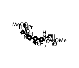 COC(=O)N[C@H](C(=O)N1CCC[C@H]1c1nc2ccc(-c3ccc(-c4ccc5nc([C@@H]6CCCN6C(=O)[C@@H](NC(=O)OC)C(C)C)[nH]c5c4)c4c3ccn4C)cc2[nH]1)C(C)C